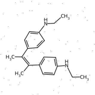 CCNc1ccc(C(C)=C(C)c2ccc(NCC)cc2)cc1